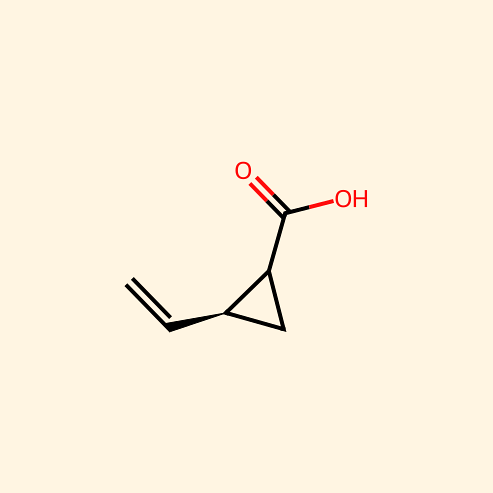 C=C[C@@H]1CC1C(=O)O